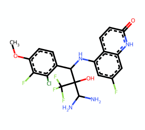 COc1ccc(C(Nc2cc(F)cc3[nH]c(=O)ccc23)C(O)(C(N)N)C(F)(F)F)c(Cl)c1F